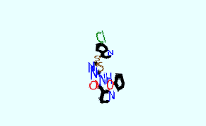 O=C(Nc1nnc(Sc2ccnc3cc(Cl)ccc23)s1)C1CC=CN=C1Oc1ccccc1